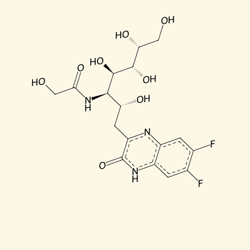 O=C(CO)N[C@@H]([C@@H](O)[C@@H](O)[C@H](O)CO)[C@H](O)Cc1nc2cc(F)c(F)cc2[nH]c1=O